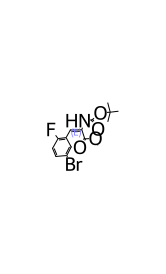 COC(=O)/C(=C\c1cc(Br)ccc1F)NC(=O)OC(C)(C)C